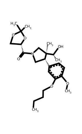 CCCCOc1cc([C@@H]2CN(C(=O)[C@@H]3COC(C)(C)O3)C[C@@]2(C)[C@@H](C)O)ccc1OC